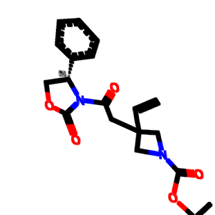 C=CC1(CC(=O)N2C(=O)OC[C@@H]2c2ccccc2)CN(C(=O)OC(C)(C)C)C1